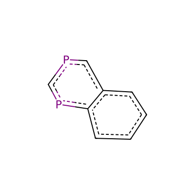 c1ccc2pcpcc2c1